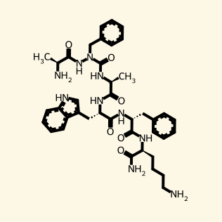 C[C@H](N)C(=O)NN(Cc1ccccc1)C(=O)N[C@@H](C)C(=O)N[C@@H](Cc1c[nH]c2ccccc12)C(=O)N[C@H](Cc1ccccc1)C(=O)N[C@@H](CCCCN)C(N)=O